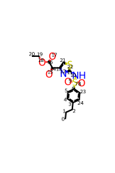 CCCc1ccc(S(=O)(=O)Nc2nc(C(=O)C(=O)OCC)cs2)cc1